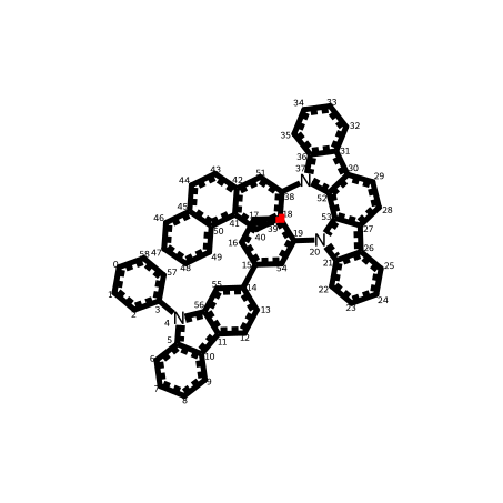 c1ccc(-n2c3ccccc3c3ccc(-c4cccc(-n5c6ccccc6c6ccc7c8ccccc8n(-c8ccc9c(ccc%10ccccc%109)c8)c7c65)c4)cc32)cc1